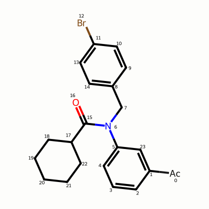 CC(=O)c1cccc(N(Cc2ccc(Br)cc2)C(=O)C2CCCCC2)c1